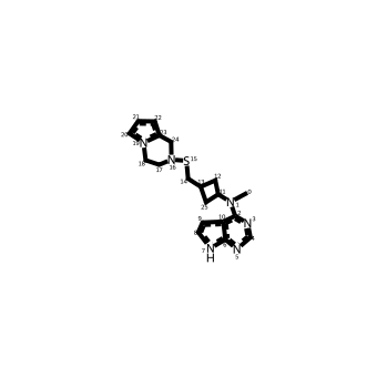 CN(c1ncnc2[nH]ccc12)C1CC(CSN2CCn3cccc3C2)C1